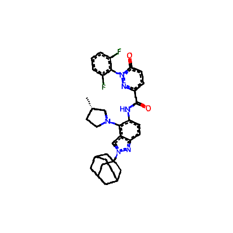 C[C@H]1CCN(c2c(NC(=O)c3ccc(=O)n(-c4c(F)cccc4F)n3)ccc3nn(C45CC6CC(CC(C6)C4)C5)cc23)C1